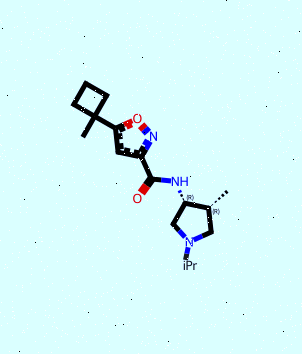 CC(C)N1C[C@@H](C)[C@@H](NC(=O)c2cc(C3(C)CCC3)on2)C1